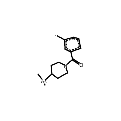 [CH2]c1cccc(C(=O)N2CCC([As](C)C)CC2)c1